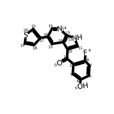 O=C(c1cc(O)ccc1F)c1c[nH]c2ncc(-c3ccsc3)cc12